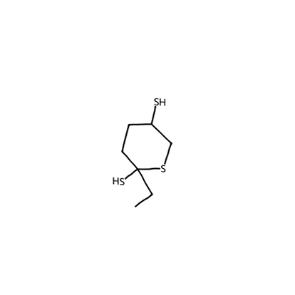 CCC1(S)CCC(S)CS1